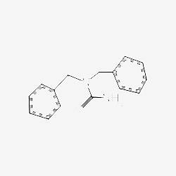 NC(=S)N(Cc1ccccc1)Cc1ccccc1